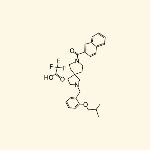 CC(C)COc1ccccc1CN1CCC2(CCN(C(=O)c3ccc4ccccc4c3)CC2)C1.O=C(O)C(F)(F)F